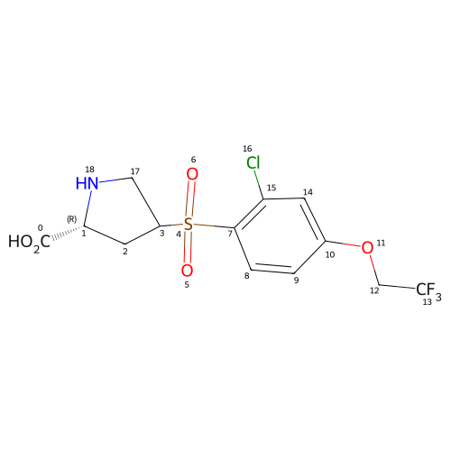 O=C(O)[C@H]1CC(S(=O)(=O)c2ccc(OCC(F)(F)F)cc2Cl)CN1